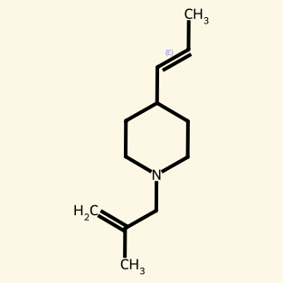 C=C(C)CN1CCC(/C=C/C)CC1